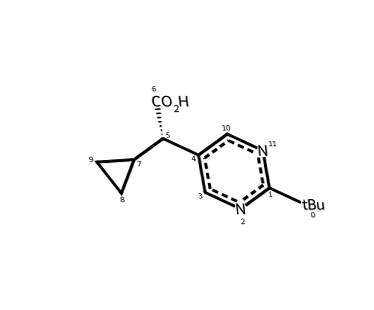 CC(C)(C)c1ncc([C@@H](C(=O)O)C2CC2)cn1